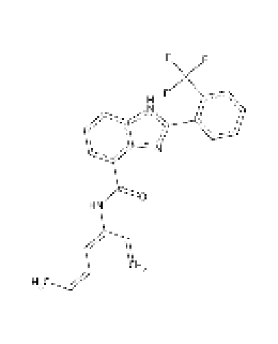 C=C/C(=C\C=C/C)NC(=O)c1cccc2[nH]c(-c3ccccc3C(F)(F)F)nc12